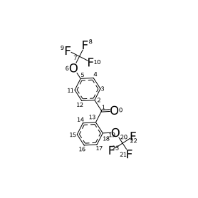 O=C(c1ccc(OC(F)(F)F)cc1)c1ccccc1OC(F)(F)F